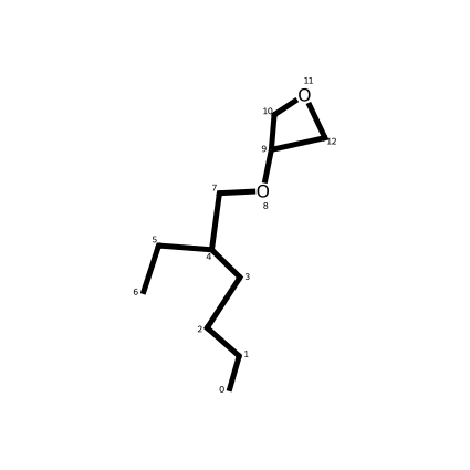 CCCCC(CC)COC1COC1